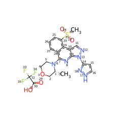 C[C@@H]1COCCN1c1nc2c(cnn2-c2cc[nH]n2)c2c(S(C)(=O)=O)cccc12.O=C(O)C(F)(F)F